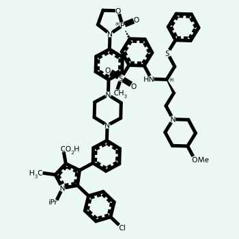 COC1CCN(CC[C@H](CSc2ccccc2)Nc2ccc([P@@]3(=O)OCCN3c3ccc(N4CCN(c5cccc(-c6c(C(=O)O)c(C)n(C(C)C)c6-c6ccc(Cl)cc6)c5)CC4)cc3)cc2S(C)(=O)=O)CC1